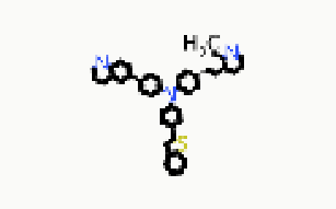 C=Cc1ncccc1/C=C/[C@H]1C=CC(N(c2ccc(-c3ccc4ncccc4c3)cc2)c2ccc(-c3cc4ccccc4s3)cc2)=CC1